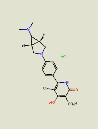 CCc1c(-c2ccc(N3C[C@@H]4C(N(C)C)[C@@H]4C3)cc2)[nH]c(=O)c(C(=O)O)c1O.Cl